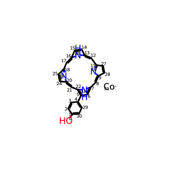 Oc1ccc(-c2cc3cc4nc(cc5ccc(cc6nc(cc2[nH]3)C=C6)[nH]5)C=C4)cc1.[Co]